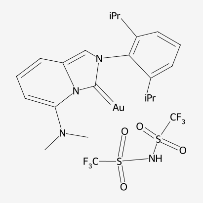 CC(C)c1cccc(C(C)C)c1-n1cc2cccc(N(C)C)n2[c]1=[Au].O=S(=O)(NS(=O)(=O)C(F)(F)F)C(F)(F)F